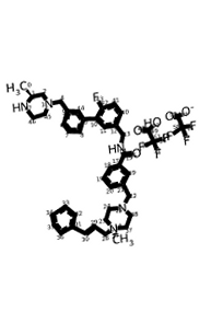 C[C@H]1CN(Cc2cccc(-c3cc(CNC(=O)c4cccc(CN5CC[N+](C)(C/C=C/c6ccccc6)CC5)c4)ccc3F)c2)CCN1.O=C(O)C(F)(F)F.O=C([O-])C(F)(F)F